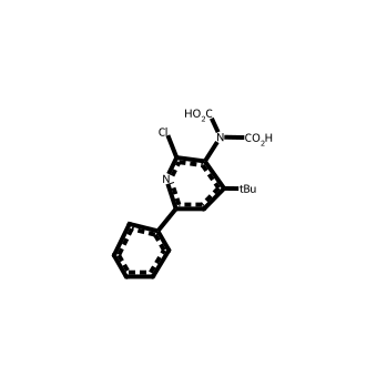 CC(C)(C)c1cc(-c2ccccc2)nc(Cl)c1N(C(=O)O)C(=O)O